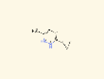 CC1=CC=C(C2CC2)NN1